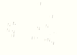 Cc1c(C(=O)NN2CCCCC2)nc(-c2ccc(Cl)cc2Cl)n1-c1ccc(-c2nnn[nH]2)cc1